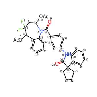 CC(=O)OC1CC(F)(F)C(OC(C)=O)c2ccccc2N1C(=O)c1ccc(NC(=O)C2(c3ccccc3)CCCC2)cc1